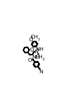 CCN(Nc1ccc(OC)cc1)C(=O)C(CC1CCCCC1)NC(=O)c1ccc(C#N)cc1